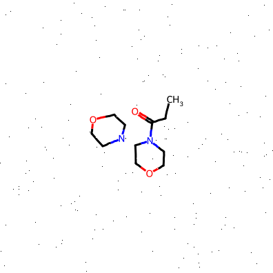 C1COCC[N]1.CCC(=O)N1CCOCC1